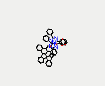 c1ccc(-c2nc(-c3ccccc3)nc(-c3ccc4c(c3)C3(c5ccccc5-4)c4ccccc4-c4c3c3c5ccccc5c(-c5nc(-c6ccccc6)nc(-c6ccccc6)n5)cc3c3ccccc43)n2)cc1